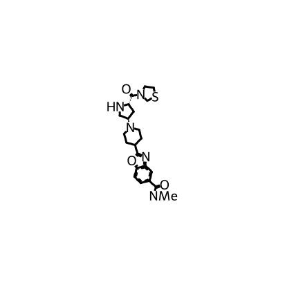 CNC(=O)c1ccc2oc(C3CCN([C@@H]4CN[C@H](C(=O)N5CCSC5)C4)CC3)nc2c1